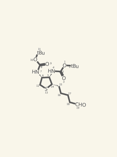 CC(C)(C)OC(=O)N[C@H]1[C@@H](NC(=O)OC(C)(C)C)CS[C@H]1CCCCC=O